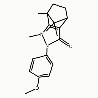 COc1ccc(-n2c(=O)c3c(n2C)C2(C)CCC3C2(C)C)cc1